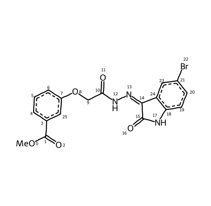 COC(=O)c1cccc(OCC(=O)N/N=C2\C(=O)Nc3ccc(Br)cc32)c1